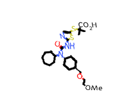 COCCOC[C@H]1CC[C@H](N(C(=O)Nc2ncc(SC(C)(C)C(=O)O)s2)C2CCCCCC2)CC1